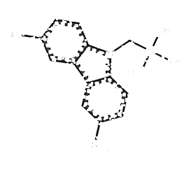 CC(=O)c1ccc2c(c1)c1cc([N+](=O)[O-])ccc1n2C[Si](C)(C)C